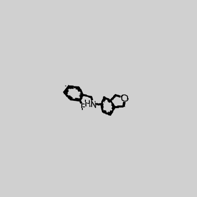 Fc1cc[c]cc1CNc1ccc2c(c1)COC2